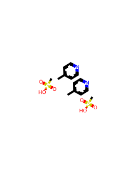 CS(=O)(=O)O.CS(=O)(=O)O.Cc1ccncc1.Cc1ccncc1